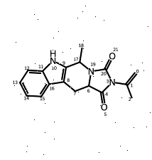 C=C(C)N1C(=O)C2Cc3c([nH]c4ccccc34)C(C)N2C1=O